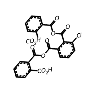 O=C(O)c1ccccc1C(=O)OC(=O)c1cccc(Cl)c1C(=O)OC(=O)c1ccccc1C(=O)O